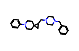 c1ccc(CN2CCN(CC3CC34CCN(c3ccccc3)CC4)CC2)cc1